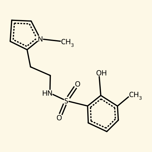 Cc1cccc(S(=O)(=O)NCCc2cccn2C)c1O